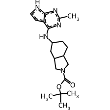 Cc1nc(NC2CCC3CN(C(=O)OC(C)(C)C)CC3C2)c2cc[nH]c2n1